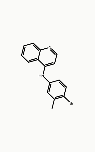 Cc1cc(Nc2ccnc3ccccc23)ccc1Br